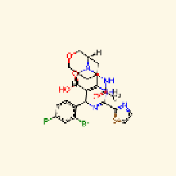 CC(=O)N[C@H]1C[C@H]2COC[C@@H](C1)N2CC1=C(C(=O)O)[C@H](c2ccc(F)cc2Br)N=C(c2nccs2)N1